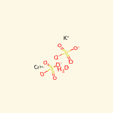 O.O=S(=O)([O-])[O-].O=S(=O)([O-])[O-].[Cr+3].[K+]